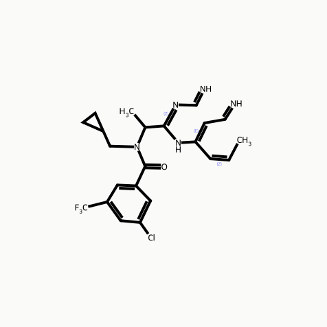 C/C=C\C(=C/C=N)N/C(=N\C=N)C(C)N(CC1CC1)C(=O)c1cc(Cl)cc(C(F)(F)F)c1